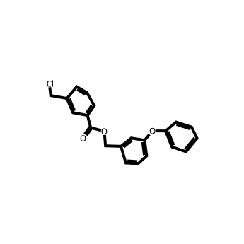 O=C(OCc1cccc(Oc2ccccc2)c1)c1cccc(CCl)c1